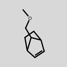 COCC1C2C=CC1CC2